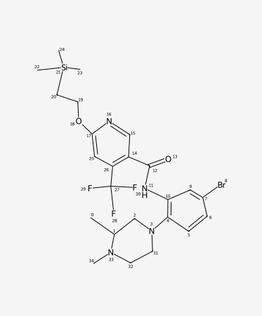 CC1CN(c2ccc(Br)cc2NC(=O)c2cnc(OCC[Si](C)(C)C)cc2C(F)(F)F)CCN1C